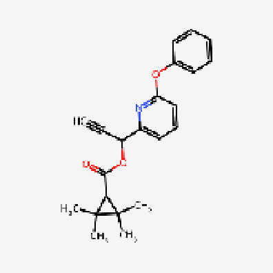 C#CC(OC(=O)C1C(C)(C)C1(C)C)c1cccc(Oc2ccccc2)n1